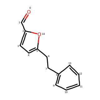 O=Cc1ccc(CCc2ccccc2)o1